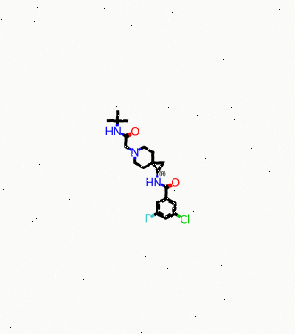 CC(C)(C)NC(=O)CN1CCC2(CC1)C[C@H]2NC(=O)c1cc(F)cc(Cl)c1